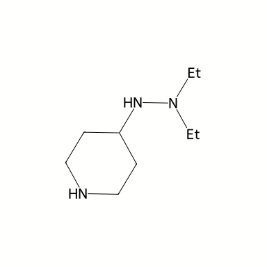 CCN(CC)NC1CCNCC1